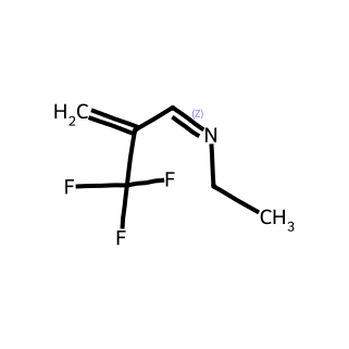 C=C(/C=N\CC)C(F)(F)F